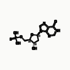 O=c1[nH]cnc2c1ncn2[C@H]1C[C@H](O)[C@@H](COP(O)(O)=S)O1